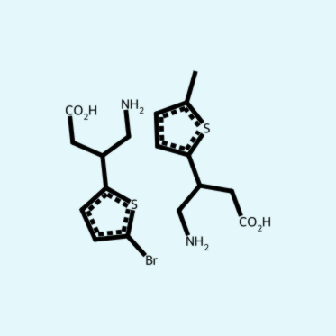 Cc1ccc(C(CN)CC(=O)O)s1.NCC(CC(=O)O)c1ccc(Br)s1